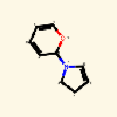 C1=COC(N2C=CCC2)C=C1